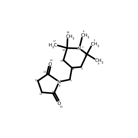 CN1C(C)(C)CC(CN2C(=O)CCC2=O)CC1(C)C